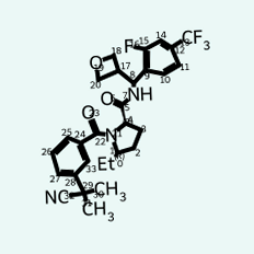 CC[C@@H]1CC[C@H](C(=O)NC(c2ccc(C(F)(F)F)cc2F)C2COC2)N1C(=O)c1cccc(C(C)(C)C#N)c1